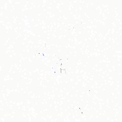 CN1C(=O)N(c2ccc(C#N)c(C(F)(F)F)c2)[C@H]2CCC(c3ccccc3)C[C@@H]21